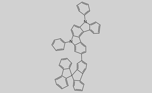 c1ccc(-n2c3ccccc3c3c4c5ccc(-c6ccc7c(c6)C6(c8ccccc8-c8ccccc86)c6ccccc6-7)cc5n(-c5ccccc5)c4ccc32)cc1